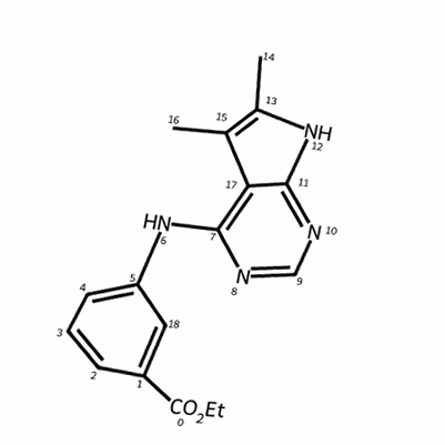 CCOC(=O)c1cccc(Nc2ncnc3[nH]c(C)c(C)c23)c1